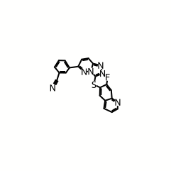 N#Cc1cccc(-c2ccc3nnc(Sc4cc5cccnc5cc4F)n3n2)c1